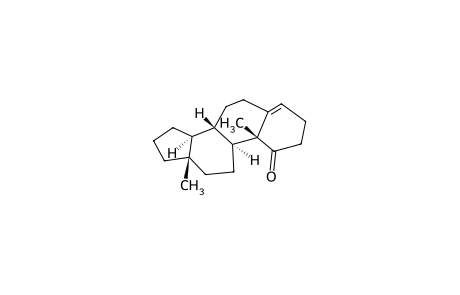 C[C@@]12CCC[C@H]1[C@@H]1CCC3=CCCC(=O)[C@]3(C)[C@H]1CC2